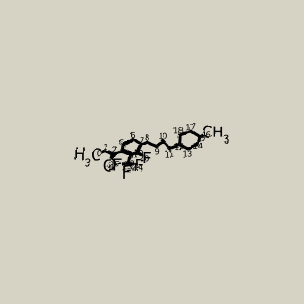 CCC(=O)c1ccc(CCCCC2CCC(C)CC2)c(F)c1C(F)(F)F